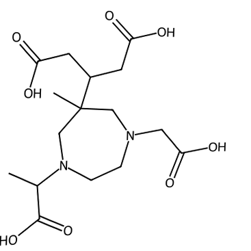 CC(C(=O)O)N1CCN(CC(=O)O)CC(C)(C(CC(=O)O)CC(=O)O)C1